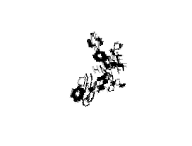 CCOC(=O)n1nc(NC(=O)c2ccc(N3CCN(C)CC3)cc2N(C(=O)C(F)(F)F)[C@@H](C)COC)c2c1C(C)(C)N(C(=O)Nc1c(Cl)cccc1Cl)C2